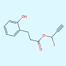 C#CC(I)OC(=O)CCc1ccccc1O